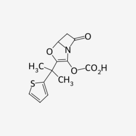 CC(C)(C1=C(OC(=O)O)N2C(=O)CC2O1)c1cccs1